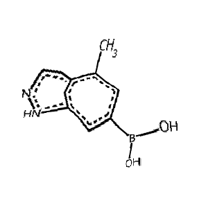 Cc1cc(B(O)O)cc2[nH]ncc12